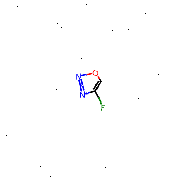 Fc1conn1